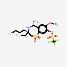 CCCC[C@]1(CC)CS(=O)(=O)c2cc(OS(=O)(=O)C(F)(F)F)c(OC)cc2[C@@H](C)N1